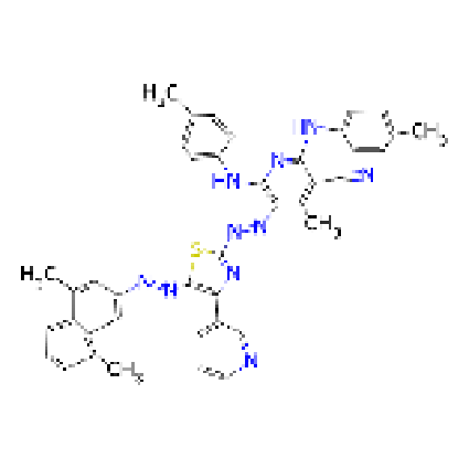 Cc1ccc(Nc2nc(Nc3ccc(C)cc3)c(N=Nc3nc(-c4cccnc4)c(N=Nc4cc(C)c5cccc(C)c5c4)s3)c(C)c2C#N)cc1